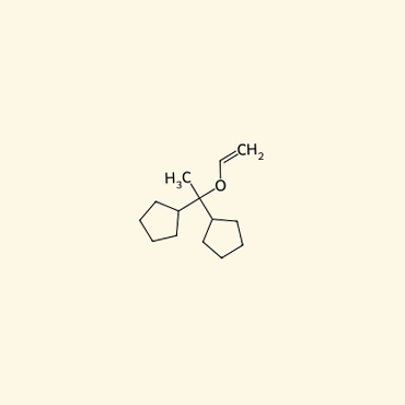 C=COC(C)(C1CCCC1)C1CCCC1